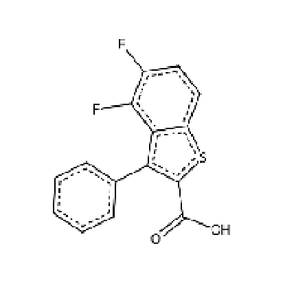 O=C(O)c1sc2ccc(F)c(F)c2c1-c1ccccc1